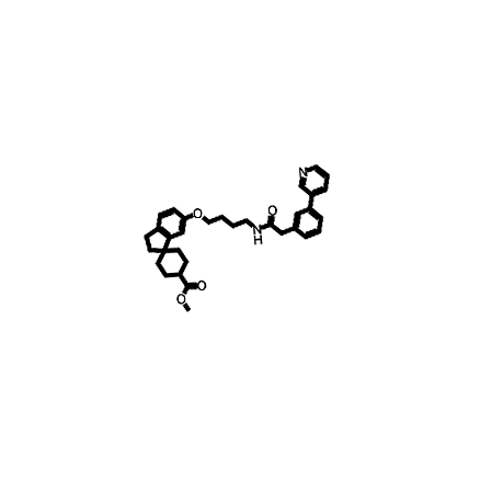 COC(=O)C1CCC2(CCc3ccc(OCCCCNC(=O)Cc4cccc(-c5cccnc5)c4)cc32)CC1